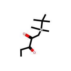 CCC(=O)C(=O)C[Si](C)(C)C(C)(C)C